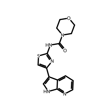 O=C(Nc1nc(-c2c[nH]c3ncccc23)cs1)N1CCOCC1